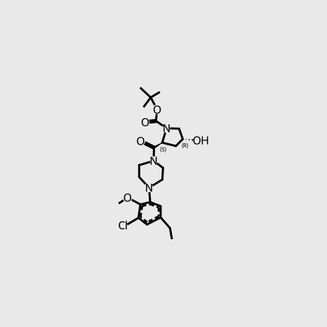 CCc1cc(Cl)c(OC)c(N2CCN(C(=O)[C@@H]3C[C@@H](O)CN3C(=O)OC(C)(C)C)CC2)c1